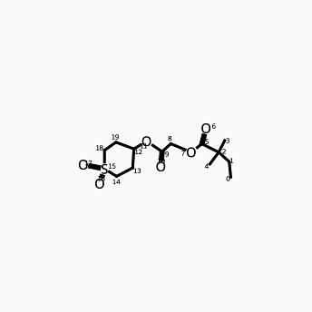 CCC(C)(C)C(=O)OCC(=O)OC1CCS(=O)(=O)CC1